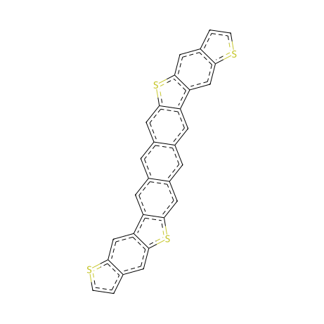 c1cc2cc3sc4cc5cc6cc7c(cc6cc5cc4c3cc2s1)sc1cc2ccsc2cc17